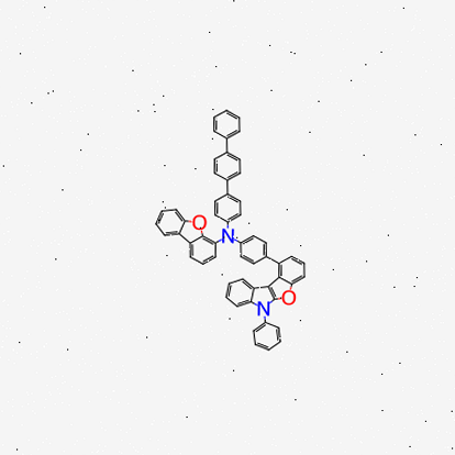 c1ccc(-c2ccc(-c3ccc(N(c4ccc(-c5cccc6oc7c(c8ccccc8n7-c7ccccc7)c56)cc4)c4cccc5c4oc4ccccc45)cc3)cc2)cc1